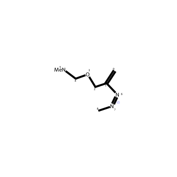 C=C(COCNC)/N=N\C